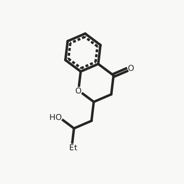 CCC(O)CC1CC(=O)c2ccccc2O1